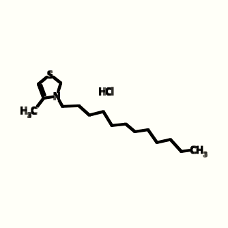 CCCCCCCCCCCCN1CSC=C1C.Cl